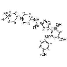 N#Cc1ccc(Oc2cc(O)cc(O)c2-c2cc(C(=O)NC3CCN(C4CCC(F)(F)CC4)CC3)no2)cc1